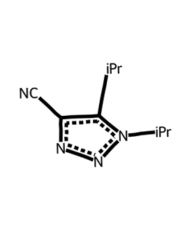 CC(C)c1c(C#N)nnn1C(C)C